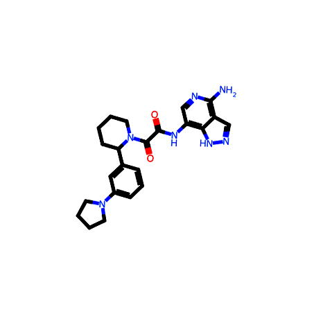 Nc1ncc(NC(=O)C(=O)N2CCCCC2c2cccc(N3CCCC3)c2)c2[nH]ncc12